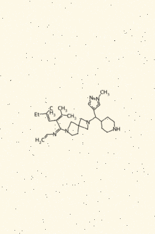 C=C/N=C(\C(/C=C(\C)CC)=C(C)C)N1CCC2(C1)CN(C(c1cnn(C)c1)C1CCNCC1)C2